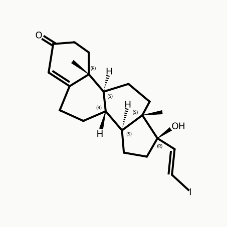 C[C@]12CCC(=O)C=C1CC[C@@H]1[C@@H]2CC[C@@]2(C)[C@H]1CC[C@@]2(O)C=CI